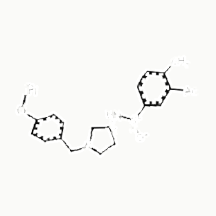 CC(=O)c1cc([S@+]([O-])N[C@@H]2CCN(Cc3ccc(OC(C)C)cc3)C2)ccc1C